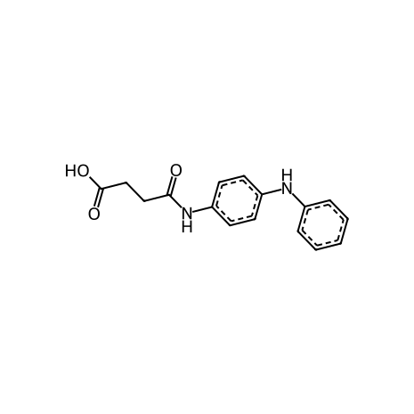 O=C(O)CCC(=O)Nc1ccc(Nc2ccccc2)cc1